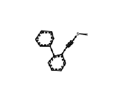 ISC#Cc1ccccc1-c1ccccc1